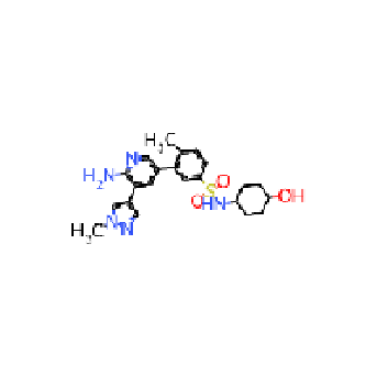 Cc1ccc(S(=O)(=O)NC2CCC(O)CC2)cc1-c1cnc(N)c(-c2cnn(C)c2)c1